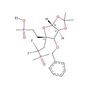 CCOP(C)(=O)CC[C@@]1(CC(F)(F)P(C)(C)=O)O[C@@H]2OC(C)(C)O[C@H]2C1OCc1ccccc1